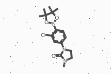 CN1CCN(c2ccc(B3OC(C)(C)C(C)(C)O3)c(Cl)c2)C1=O